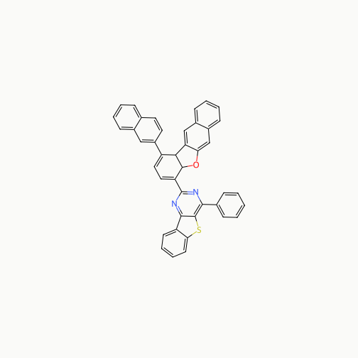 C1=C(c2nc(-c3ccccc3)c3sc4ccccc4c3n2)C2Oc3cc4ccccc4cc3C2C(c2ccc3ccccc3c2)=C1